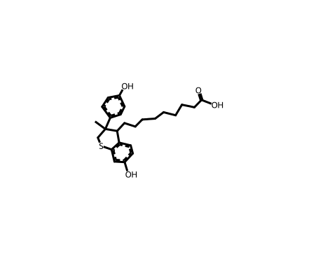 CC1(c2ccc(O)cc2)CSc2cc(O)ccc2C1CCCCCCCCC(=O)O